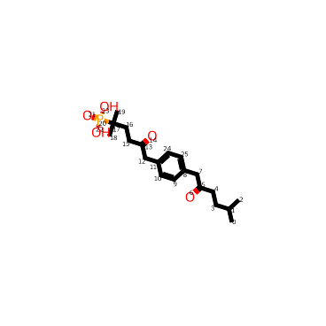 CC(C)CCC(=O)Cc1ccc(CC(=O)CCC(C)(C)P(=O)(O)O)cc1